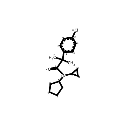 CC(C)(C(=O)N(C1CCCC1)C1CC1)c1ccc(Cl)cc1